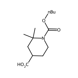 CCCCOC(=O)N1CCC(C(=O)O)CC1(C)C